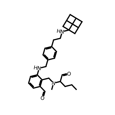 CCCC(C=O)N(C)Cc1c(C=O)cccc1NCc1ccc(CCNC23CC4CC5CC(C2)C543)cc1